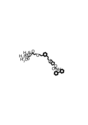 COC(CN(C)C(=O)CCOCCc1cccc(CCN2CC3CC(OC(=O)Nc4ccccc4-c4ccccc4)CC3C2)c1)OC